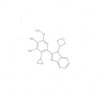 COc1cc(-c2nc3ccccc3n2C2CCC2)c(C2CC2)c(O)c1O